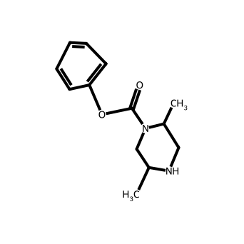 CC1CN(C(=O)Oc2ccccc2)C(C)CN1